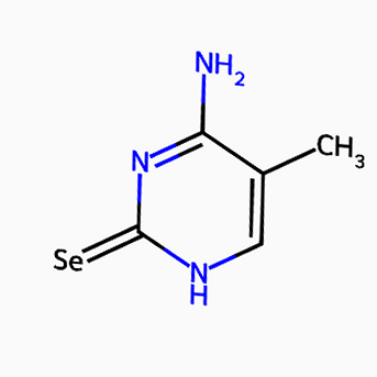 Cc1c[nH]c(=[Se])nc1N